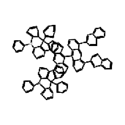 c1ccc(N2c3ccccc3C(c3ccccc3)(c3ccccc3)c3c(-c4cccc5c(-c6c7cccc(-c8ccc9ccccc9c8)c7cc7c(-c8ccc9ccccc9c8)cccc67)c6cccc(-c7cccc8c7C(c7ccccc7)(c7ccccc7)c7ccccc7N8c7ccccc7)c6cc45)cccc32)cc1